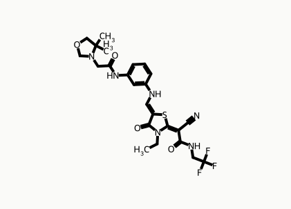 CCn1c(=C(C#N)C(=O)NCC(F)(F)F)sc(=CNc2cccc(NC(=O)CN3COCC3(C)C)c2)c1=O